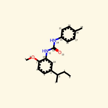 CCC(C)c1ccc(OC)c(NC(=O)Nc2ccc(C)cc2)c1